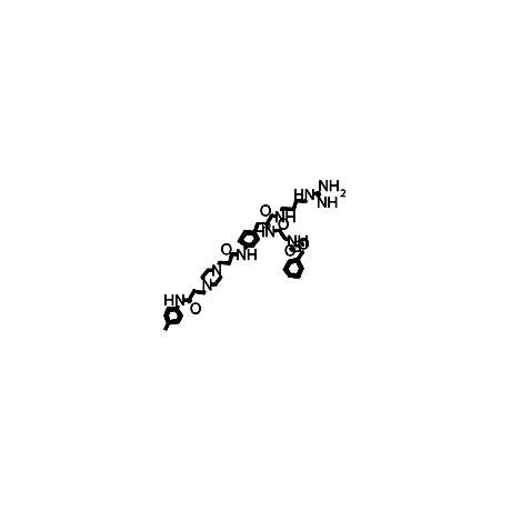 Cc1ccc(NC(=O)CCN2CCN(CCC(=O)Nc3ccc(C[C@H](NC(=O)CNS(=O)(=O)Cc4ccccc4)C(=O)NCCCCNC(=N)N)cc3)CC2)cc1